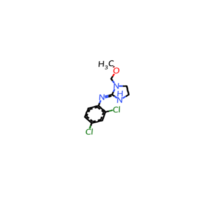 COCN1CCN/C1=N\c1ccc(Cl)cc1Cl